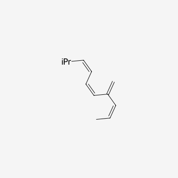 C=C(/C=C\C)/C=C\C=C/C(C)C